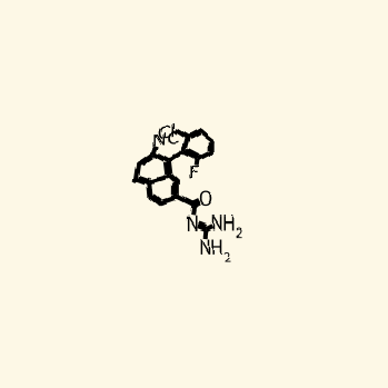 [C-]#[N+]c1ccc2ccc(C(=O)N=C(N)N)cc2c1-c1c(F)cccc1Cl